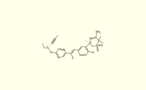 CC#C[C@@H](CC)Oc1cnc(/C(F)=C/c2ccc(F)c([C@]3(C)CS(=O)(=O)C(C)(C)C(N)=N3)c2)cn1